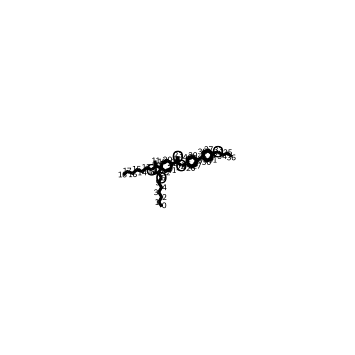 CCCCCCOC(C)C1(C(C)OCCCCCC)C=CC(C(=O)Oc2ccc(-c3ccc(OCCC)cc3)cc2)C=C1